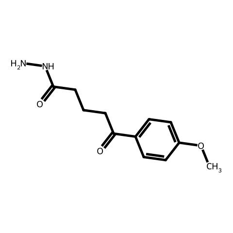 COc1ccc(C(=O)CCCC(=O)NN)cc1